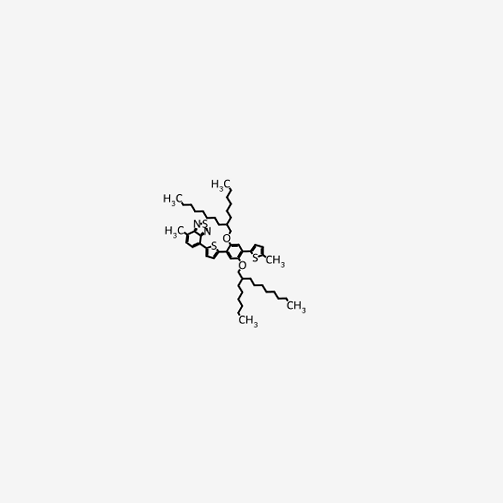 CCCCCCCCC(CCCCCC)COc1cc(-c2ccc(-c3ccc(C)c4nsnc34)s2)c(OCC(CCCCCC)CCCCCCCC)cc1-c1ccc(C)s1